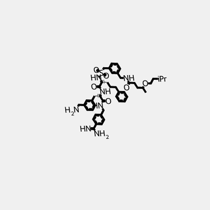 CC(C)CCOC(C)CCC(=O)NCc1cccc(CS(=O)(=O)N[C@H](CCCc2ccccc2)C(=O)N[C@@H](Cc2cccc(CN)c2)C(=O)NCc2ccc(C(=N)N)cc2)c1